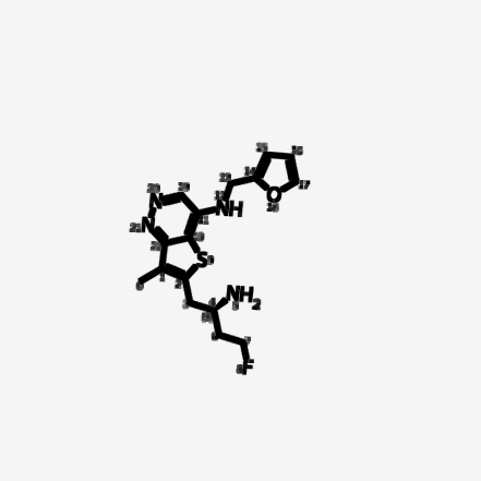 Cc1c(C[C@@H](N)CCF)sc2c(NCc3ccco3)cnnc12